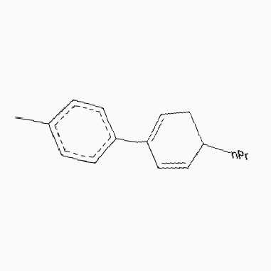 CCCC1C=CC(c2ccc(C)cc2)=CC1